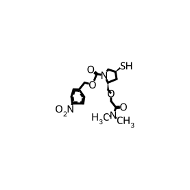 CN(C)C(=O)COC[C@@H]1C[C@H](S)CN1C(=O)OCc1ccc([N+](=O)[O-])cc1